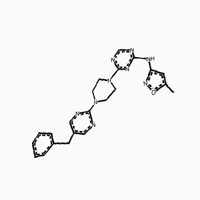 Cc1cc(Nc2ncnc(N3CCN(c4ncc(Cc5ccccc5)cn4)CC3)n2)no1